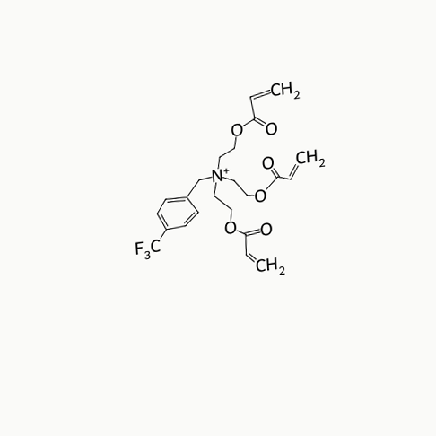 C=CC(=O)OCC[N+](CCOC(=O)C=C)(CCOC(=O)C=C)Cc1ccc(C(F)(F)F)cc1